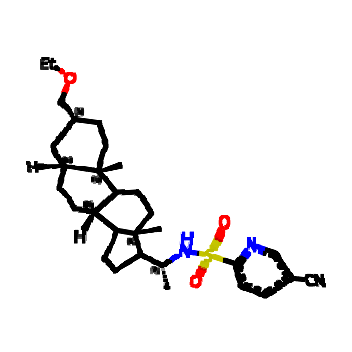 CCOC[C@H]1CC[C@]2(C)C3CC[C@@]4(C)C(CCC4[C@@H](C)NS(=O)(=O)c4ccc(C#N)cn4)[C@@H]3CC[C@@H]2C1